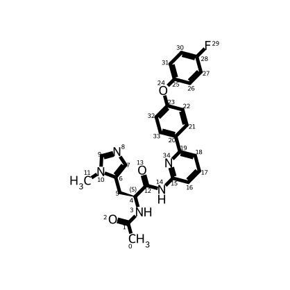 CC(=O)N[C@@H](Cc1cncn1C)C(=O)Nc1cccc(-c2ccc(Oc3ccc(F)cc3)cc2)n1